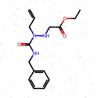 C=CCN(NCC(=O)OCC)C(=O)NCc1ccccc1